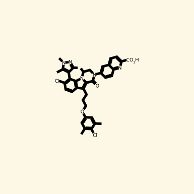 Cc1cc(OCCCc2c3n(c4c(-c5c(C)nn(C)c5C)c(Cl)ccc24)C(C)CN(c2ccc4nc(C(=O)O)ccc4c2)C3=O)cc(C)c1Cl